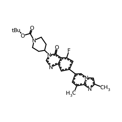 Cc1cn2cc(-c3cc(F)c4c(=O)n(C5CCN(C(=O)OC(C)(C)C)CC5)cnc4c3)cc(C)c2n1